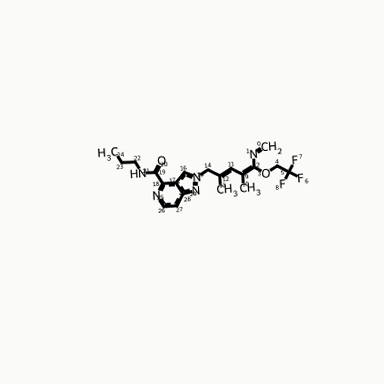 C=N/C(OCC(F)(F)F)=C(C)\C=C(/C)Cn1cc2c(C(=O)NCCC)nccc2n1